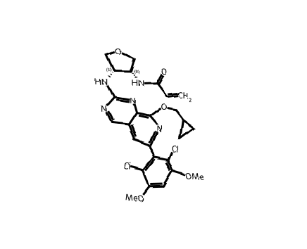 C=CC(=O)N[C@H]1COC[C@H]1Nc1ncc2cc(-c3c(Cl)c(OC)cc(OC)c3Cl)nc(OCC3CC3)c2n1